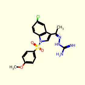 COc1ccc(S(=O)(=O)n2cc(/C(C)=N\NC(=N)N)c3cc(Cl)ccc32)cc1